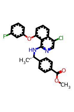 COC(=O)c1ccc([C@H](C)Nc2ncc(Cl)c3cccc(Oc4cccc(F)c4)c23)cc1